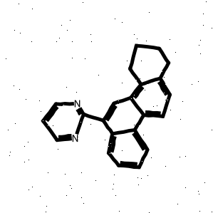 c1cnc(-c2cc3c4c(ccc3c3ccccc23)CCCC4)nc1